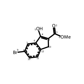 COC(=O)C1=C(O)c2cc(Br)ccc2C1